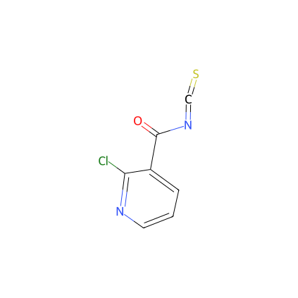 O=C(N=C=S)c1cccnc1Cl